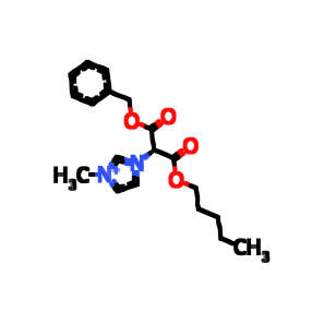 CCCCCOC(=O)[C@H](C(=O)OCc1ccccc1)n1cc[n+](C)c1